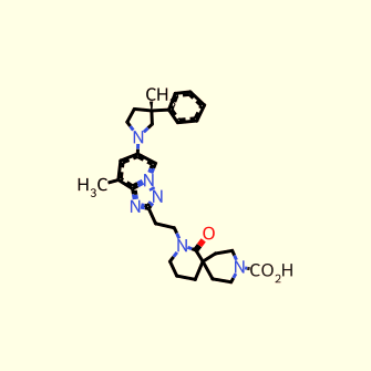 Cc1cc(N2CC[C@](C)(c3ccccc3)C2)cn2nc(CCN3CCCC4(CCN(C(=O)O)CC4)C3=O)nc12